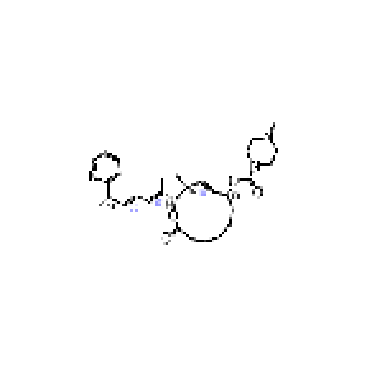 C/C(=C\C=C\[C@H](C)c1ccccn1)[C@H]1OC(=O)CCCCC[C@@H](OC(=O)N2CCN(C)CC2)/C=C/[C@@H]1C